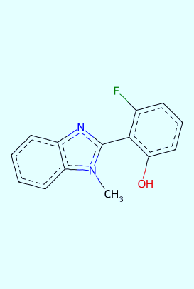 Cn1c(-c2c(O)cccc2F)nc2ccccc21